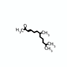 CC(=O)C=CCCC(C)CCCC(C)C